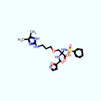 Cc1nc(NCCCOCC(NC(=O)c2ccno2)(NS(=O)(=O)c2ccccc2)C(=O)O)[nH]c1C